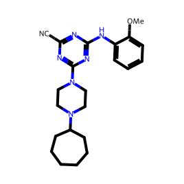 COc1ccccc1Nc1nc(C#N)nc(N2CCN(C3CCCCCC3)CC2)n1